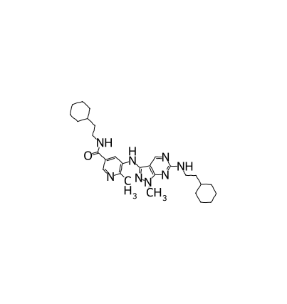 Cc1ncc(C(=O)NCCC2CCCCC2)cc1Nc1nn(C)c2nc(NCCC3CCCCC3)ncc12